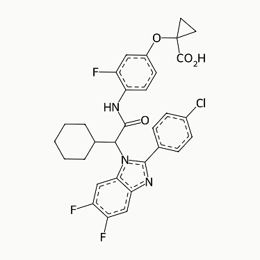 O=C(Nc1ccc(OC2(C(=O)O)CC2)cc1F)C(C1CCCCC1)n1c(-c2ccc(Cl)cc2)nc2cc(F)c(F)cc21